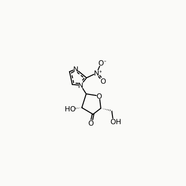 O=C1[C@@H](CO)OC(n2ccnc2[N+](=O)[O-])[C@H]1O